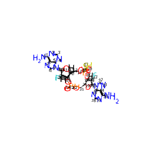 Nc1ncnc2c1ncn2[C@@H]1O[C@@H]2CO[P@@](=O)(S)O[C@@H]3C(CO[PH](=O)O[C@H]2[C@H]1F)O[C@@H](n1cnc2c(N)ncnc21)[C@@H]3F